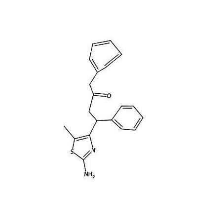 Cc1sc(N)nc1C(CC(=O)Cc1ccccc1)c1ccccc1